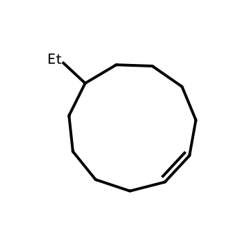 [CH2]CC1CCCCC=CCCCC1